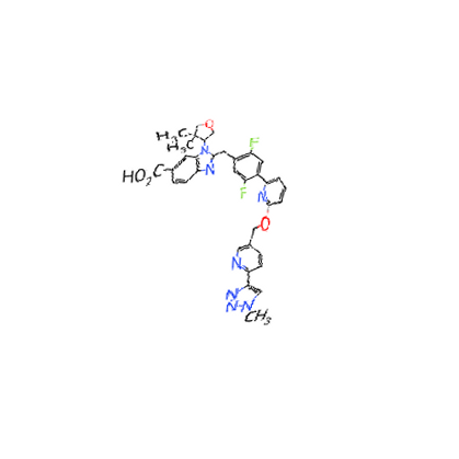 Cn1cc(-c2ccc(COc3cccc(-c4cc(F)c(Cc5nc6ccc(C(=O)O)cc6n5C5COCC5(C)C)cc4F)n3)cn2)nn1